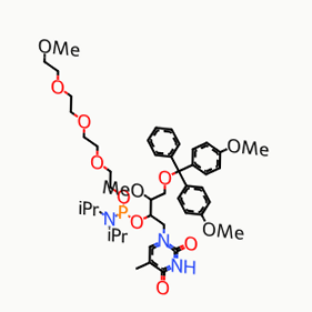 COCCOCCOCCOCCOP(OC(Cn1cc(C)c(=O)[nH]c1=O)C(COC(c1ccccc1)(c1ccc(OC)cc1)c1ccc(OC)cc1)OC)N(C(C)C)C(C)C